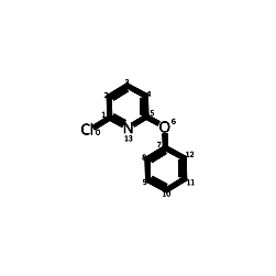 Clc1cccc(Oc2ccccc2)n1